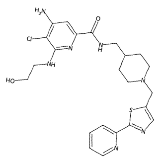 Nc1cc(C(=O)NCC2CCN(Cc3cnc(-c4ccccn4)s3)CC2)nc(NCCO)c1Cl